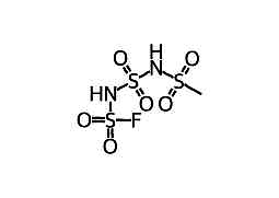 CS(=O)(=O)NS(=O)(=O)NS(=O)(=O)F